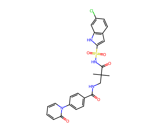 CC(C)(CNC(=O)c1ccc(-n2ccccc2=O)cc1)C(=O)NS(=O)(=O)c1cc2ccc(Cl)cc2[nH]1